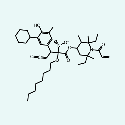 C=CC(=O)N1C(C)(CC)CC(OC(=O)C(OCCCCCCCC)(C(C=C=O)c2cc(C)c(O)c(C3CCCCC3)c2)[N+](=O)[O-])C(C)C1(C)CC